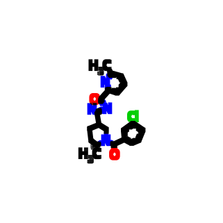 Cc1cccc(-c2nc(C3CC[C@@H](C)N(C(=O)c4cccc(Cl)c4)C3)no2)n1